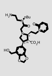 CCCCN(CCN)C(=O)CN1C[C@H](c2cc(CO)c3c(c2)OCO3)[C@@H](C(=O)O)[C@@H]1CCn1ccccc1=O